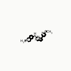 COc1ccc(-c2ccc3cnc(Nc4ccc5c(c4)CCN(C)C5)nn23)cn1